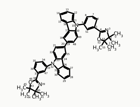 CC1(C)N=C(c2cccc(-n3c4ccccc4c4cc(-c5ccc6c(c5)c5ccccc5n6-c5cccc(C6=NC(C)(C)C(C)(C)O6)c5)ccc43)c2)OC1(C)C